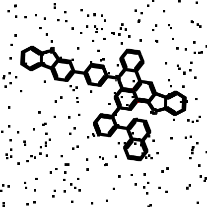 c1cc(-c2ccccc2-c2cccc3ccccc23)cc(N(c2ccc(-c3ccc4c(c3)sc3ccccc34)cc2)c2ccccc2-c2ccc3oc4ccccc4c3c2)c1